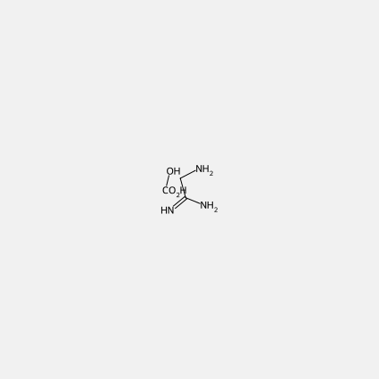 N=C(N)CN.O=C(O)O